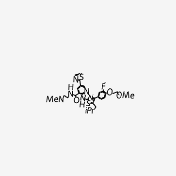 CNCCNC(=O)c1cc(-c2nccs2)cnc1Nc1nc(-c2ccc(OCCOC)c(F)c2)c(CC(C)C)s1